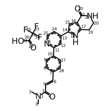 CN(C)C(=O)/C=C/c1ccc(-c2cc(-c3cc4c([nH]3)CCNC4=O)ccn2)cc1.O=C(O)C(F)(F)F